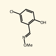 CO/N=C/c1cc(Cl)ccc1O